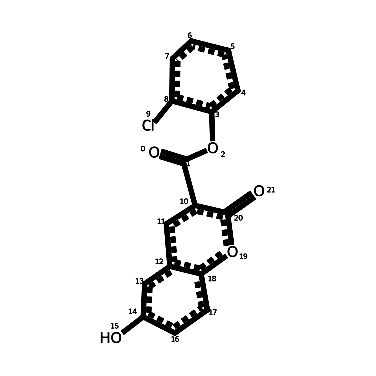 O=C(Oc1ccccc1Cl)c1cc2cc(O)ccc2oc1=O